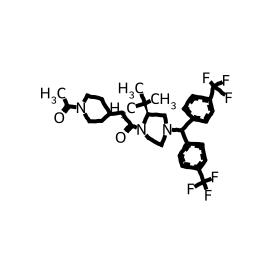 CC(=O)N1CCC(CC(=O)N2CCN(C(c3ccc(C(F)(F)F)cc3)c3ccc(C(F)(F)F)cc3)C[C@@H]2C(C)(C)C)CC1